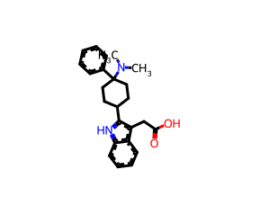 CN(C)C1(c2ccccc2)CCC(c2[nH]c3ccccc3c2CC(=O)O)CC1